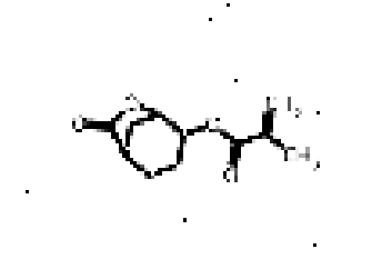 C=C(C)C(=O)OC1CCC2CC1OC2=O